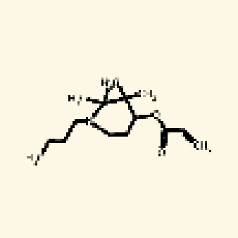 C=CC(=O)OC1CCN(CCCC)C(C)(C)C1(C)C